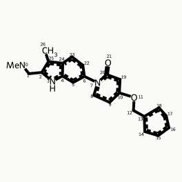 CNCc1[nH]c2cc(-n3ccc(OCc4ccccc4)cc3=O)ccc2c1C